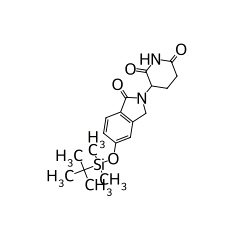 CC(C)(C)[Si](C)(C)Oc1ccc2c(c1)CN(C1CCC(=O)NC1=O)C2=O